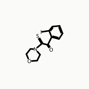 O=C(C(=S)N1CCOCC1)c1ccccc1I